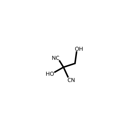 N#CC(O)(C#N)CO